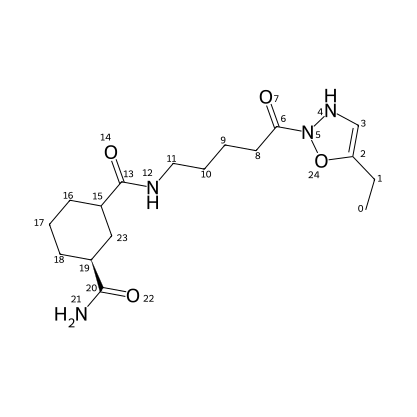 CCC1=CNN(C(=O)CCCCNC(=O)C2CCC[C@H](C(N)=O)C2)O1